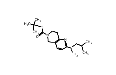 CC(C)CN(C)c1ccc2c(n1)CCN(C(=O)OC(C)(C)C)C2